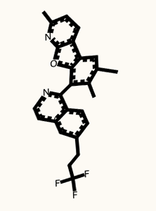 Cc1ccc2c(n1)oc1c(-c3nccc4cc(CCC(F)(F)F)ccc34)c(C)c(C)cc12